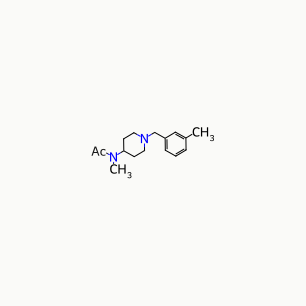 CC(=O)N(C)C1CCN(Cc2cccc(C)c2)CC1